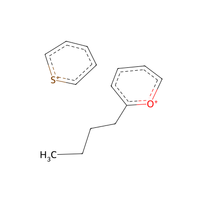 CCCCc1cccc[o+]1.c1cc[s+]cc1